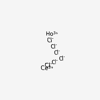 [Ce+3].[Cl-].[Cl-].[Cl-].[Cl-].[Cl-].[Cl-].[Ho+3]